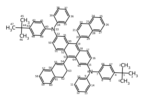 CC(C)(C)c1ccc(N(c2ccccc2)c2ccc3c(-c4ccc5ccccc5c4)c4cc(N(c5ccccc5)c5ccc(C(C)(C)C)cc5)ccc4c(C4=Cc5ccccc5CC4)c3c2)cc1